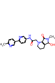 Cc1ccc(-c2ccc(NC(=O)CN3CCCC4=C3C(=O)N(C)C4O)cn2)cn1